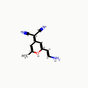 CC1=CC(=C(C#N)C#N)C=C(/C=C/N)O1